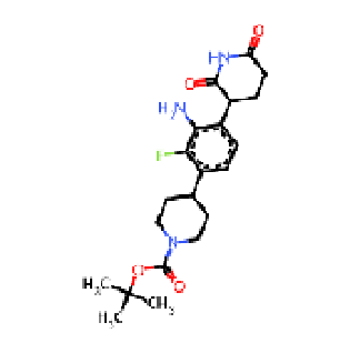 CC(C)(C)OC(=O)N1CCC(c2ccc(C3CCC(=O)NC3=O)c(N)c2F)CC1